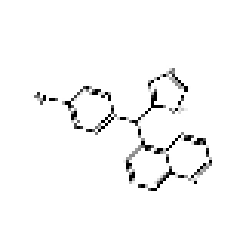 Cc1ccc(C(c2cnc[nH]2)c2cccc3ncccc23)cc1